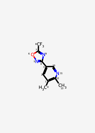 Cc1cc(-c2noc(C(F)(F)F)n2)cnc1C